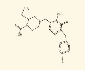 CCC1CN(Cc2ccn(Cc3ccc(Cl)cc3)c(=O)c2O)CCN1C(=O)O